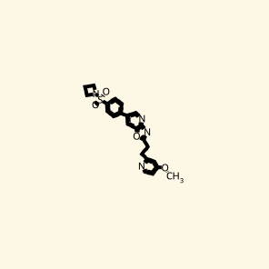 COc1ccnc(CCc2nc3ncc(-c4ccc(S(=O)(=O)N5CCC5)cc4)cc3o2)c1